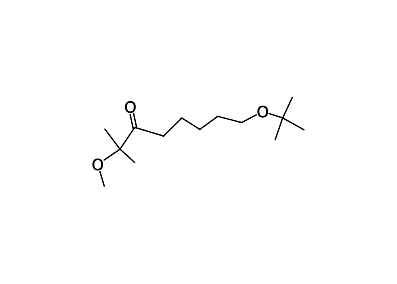 COC(C)(C)C(=O)CCCCCOC(C)(C)C